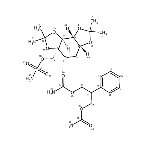 CC1(C)O[C@@H]2[C@@H](CO[C@@]3(COS(N)(=O)=O)OC(C)(C)O[C@@H]23)O1.NC(=O)OCC(COC(N)=O)c1ccccc1